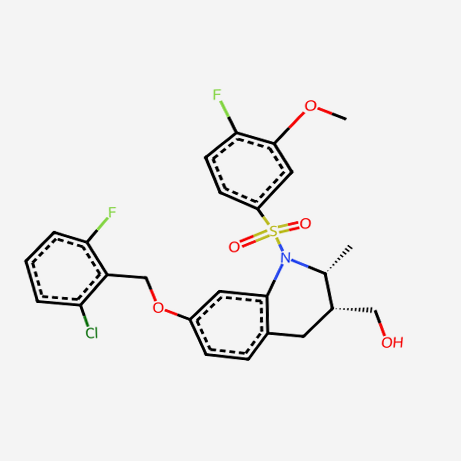 COc1cc(S(=O)(=O)N2c3cc(OCc4c(F)cccc4Cl)ccc3C[C@@H](CO)[C@H]2C)ccc1F